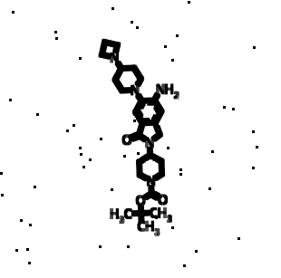 CC(C)(C)OC(=O)N1CCC(N2Cc3cc(N)c(N4CCC(N5CCC5)CC4)cc3C2=O)CC1